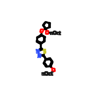 CCCCCCCCOc1ccc(-c2nnc(-c3ccc(OC4(OCCCCCCCC)C=CCC4)cc3)s2)cc1